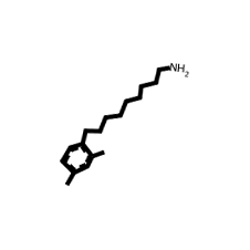 Cc1ccc(CCCCCCCCCN)c(C)c1